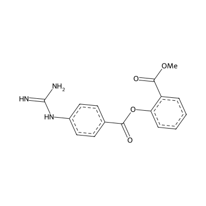 COC(=O)c1ccccc1OC(=O)c1ccc(NC(=N)N)cc1